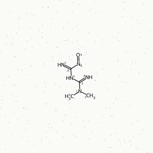 CN(C)C(=N)NC(=N)N=O